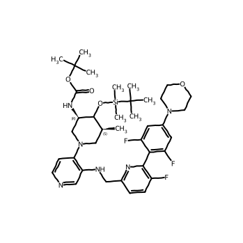 C[C@H]1CN(c2ccncc2NCc2ccc(F)c(-c3c(F)cc(N4CCOCC4)cc3F)n2)C[C@@H](NC(=O)OC(C)(C)C)C1O[Si](C)(C)C(C)(C)C